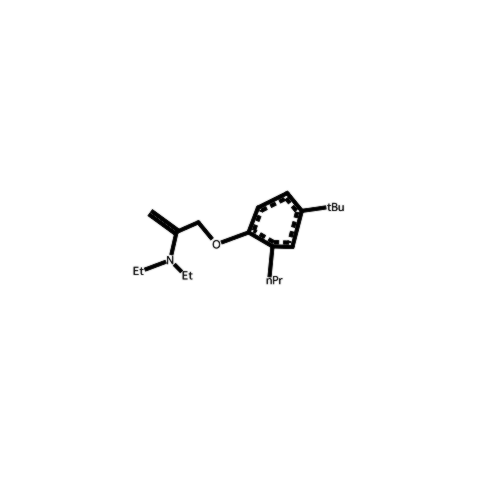 C=C(COc1ccc(C(C)(C)C)cc1CCC)N(CC)CC